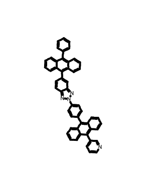 c1ccc(-c2c3ccccc3c(-c3ccc4nn(-c5ccc(-c6c7ccccc7c(-c7cccnc7)c7ccccc67)cc5)nc4c3)c3ccccc23)cc1